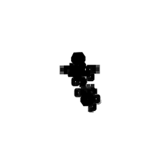 COc1ccc(C(=O)NCCN(C(=O)c2c[nH]nn2)C(CCc2ccccc2)C(=O)O)c(OC)c1OC